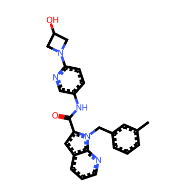 Cc1cccc(Cn2c(C(=O)Nc3ccc(N4CC(O)C4)nc3)cc3cccnc32)c1